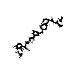 Cc1nc(CC(=O)N2CCOC3(CCN(Cc4cc(F)cc(CCNCC(O)c5ccc(O)c6[nH]c(=O)sc56)c4)CC3)C2)cs1